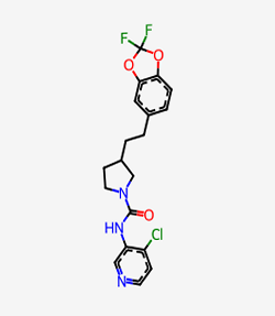 O=C(Nc1cnccc1Cl)N1CCC(CCc2ccc3c(c2)OC(F)(F)O3)C1